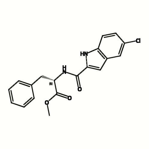 COC(=O)[C@H](Cc1ccccc1)NC(=O)c1cc2cc(Cl)ccc2[nH]1